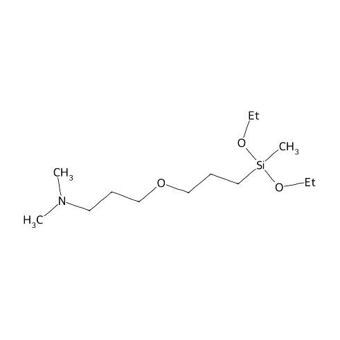 CCO[Si](C)(CCCOCCCN(C)C)OCC